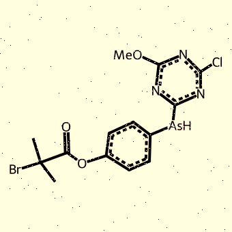 COc1nc(Cl)nc([AsH]c2ccc(OC(=O)C(C)(C)Br)cc2)n1